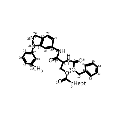 CCCCCCCC(=O)OCC(NC(=O)OCc1ccccc1)C(=O)Nc1ccc2cnn(-c3cccc(C)c3)c2c1